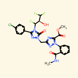 CNC(=O)c1ccccc1-n1nc(Cn2nc(-c3ccc(Cl)cc3)n(C(F)[C@H](O)C(F)F)c2=O)nc1C(=O)OC